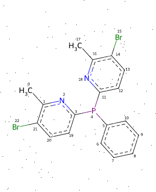 Cc1nc(P(c2ccccc2)c2ccc(Br)c(C)n2)ccc1Br